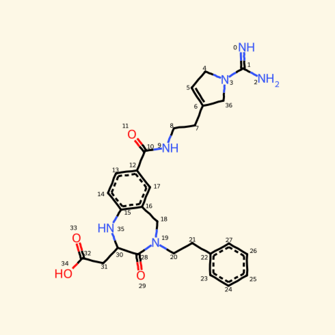 N=C(N)N1CC=C(CCNC(=O)c2ccc3c(c2)CN(CCc2ccccc2)C(=O)C(CC(=O)O)N3)C1